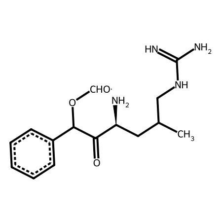 CC(CNC(=N)N)C[C@H](N)C(=O)C(O[C]=O)c1ccccc1